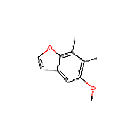 COc1cc2ccoc2c(C)c1C